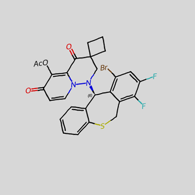 CC(=O)Oc1c2n(ccc1=O)N([C@@H]1c3ccccc3SCc3c(F)c(F)cc(Br)c31)CC1(CCC1)C2=O